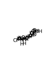 O=C(O)CC1(O)CCc2cc(-c3ccc(NC(=O)Nc4cccc(Cl)c4)cc3)ccc2C1=O